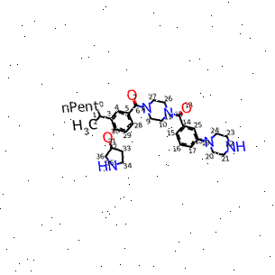 CCCCCC(C)c1cc(C(=O)N2CCN(C(=O)c3cccc(N4CCNCC4)c3)CC2)ccc1OC1CCNC1